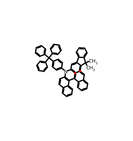 CC1(C)c2ccccc2-c2cc(N(c3ccc(C(c4ccccc4)(c4ccccc4)c4ccccc4)cc3)c3ccc4ccccc4c3-c3cccc4ccccc34)ccc21